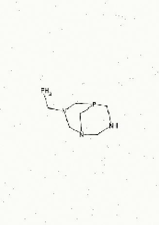 PCN1CN2CNCP(C1)C2